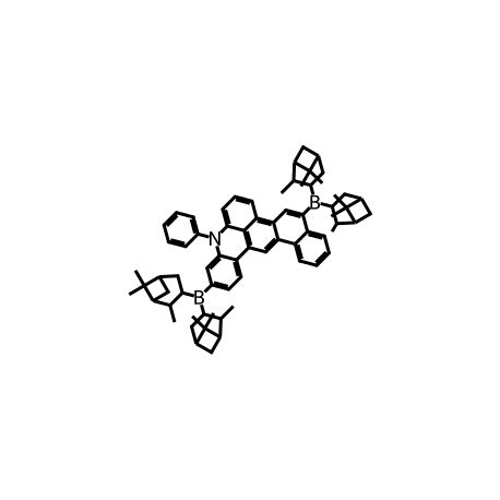 CC1C(B(c2ccc3c(c2)N(c2ccccc2)c2cccc4c2c-3cc2c3ccccc3c(B(C3CC5CC(C3C)C5(C)C)C3CC5CC(C3C)C5(C)C)cc42)C2CC3CC(C2C)C3(C)C)CC2CC1C2(C)C